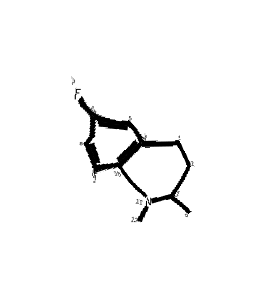 CC1CCc2cc(F)ccc2N1C